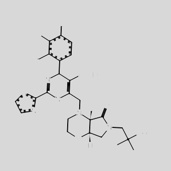 CCOC(=O)C1=C(CN2CCO[C@H]3CN(CC(C)(C)C(=O)O)C(=O)[C@H]32)NC(c2nccs2)=NC1c1ccc(F)c(F)c1Cl